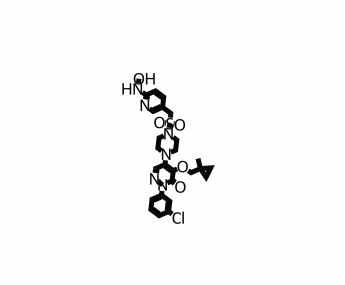 CC1(COc2c(N3CCN(S(=O)(=O)Cc4ccc(NO)nc4)CC3)cnn(-c3cccc(Cl)c3)c2=O)CC1